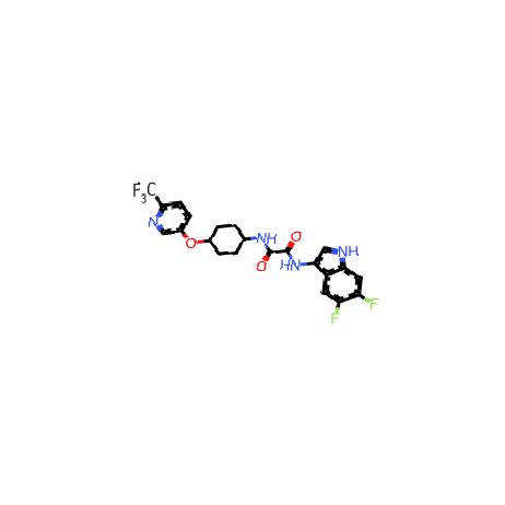 O=C(Nc1c[nH]c2cc(F)c(F)cc12)C(=O)NC1CCC(Oc2ccc(C(F)(F)F)nc2)CC1